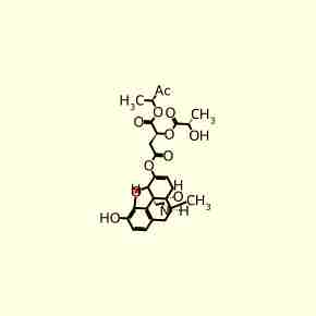 CC(=O)[C@H](C)OC(=O)[C@H](CC(=O)OC1=CC[C@@]2(O)[C@H]3Cc4ccc(O)c5c4[C@@]2(CCN3C)[C@H]1O5)OC(=O)[C@H](C)O